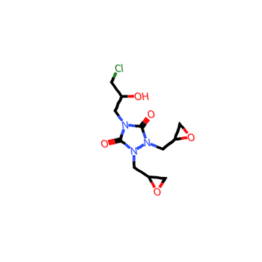 O=c1n(CC(O)CCl)c(=O)n(CC2CO2)n1CC1CO1